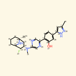 Cc1cc(-c2ccc(-c3cnc(N(C)[C@H]4C[C@@H]5CCCC(N5)[C@H]4F)cn3)c(O)c2)[nH]n1